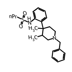 CCCS(=O)(=O)Nc1ccccc1C1(C)CCN(Cc2ccccc2)CC1C